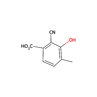 Cc1ccc(C(=O)O)c(C#N)c1O